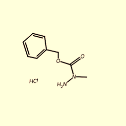 CN(N)C(=O)OCc1ccccc1.Cl